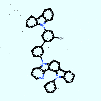 N#Cc1cc(-c2cccc(-n3c4cccnc4c4c3ccc3c5ccccc5n(-c5ccccc5)c34)c2)cc(-n2c3ccccc3c3ccccc32)c1